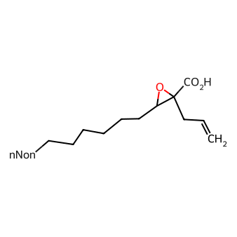 C=CCC1(C(=O)O)OC1CCCCCCCCCCCCCCC